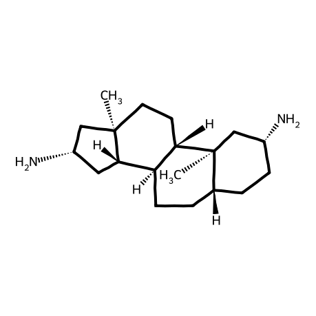 C[C@]12CC[C@H]3[C@@H](CC[C@H]4CC[C@@H](N)C[C@@]43C)[C@@H]1C[C@H](N)C2